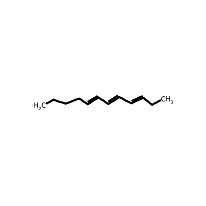 [CH2]CCCC=CC=CC=CCC